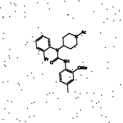 COc1cc(C)ccc1NC(=O)N(c1ccccc1C(C)C)C1CCN(C(C)=O)CC1